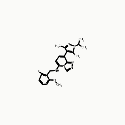 COc1cccc(F)c1CNc1ccc(-c2c(C)nn(C(C)C)c2C)c2nncn12